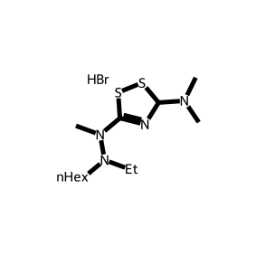 Br.CCCCCCN(CC)N(C)C1=NC(N(C)C)SS1